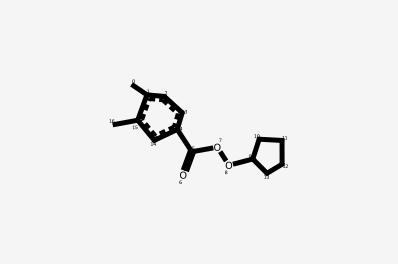 Cc1ccc(C(=O)OO[C]2CCCC2)cc1C